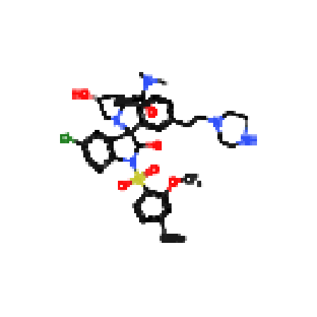 COc1ccc(S(=O)(=O)N2C(=O)C(c3cc(CCN4CCNCC4)ccc3OC)(N3C[C@H](O)C[C@H]3C(=O)N(C)C)c3cc(Cl)ccc32)c(OC(F)(F)F)c1